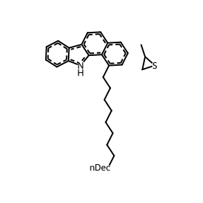 CC1CS1.CCCCCCCCCCCCCCCCCCc1cccc2ccc3c4ccccc4[nH]c3c12